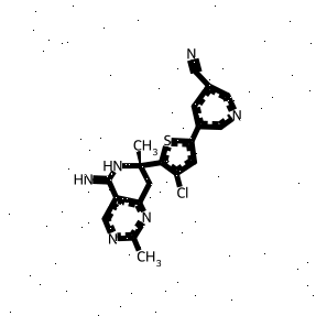 Cc1ncc2c(n1)C[C@@](C)(c1sc(-c3cncc(C#N)c3)cc1Cl)NC2=N